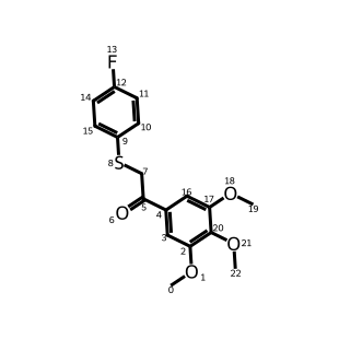 COc1cc(C(=O)CSc2ccc(F)cc2)cc(OC)c1OC